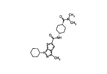 Cc1nn(C2CCCCC2)c2sc(C(=O)N[C@H]3CC[C@H](C(=O)N(C)C)CC3)cc12